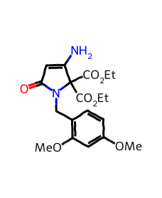 CCOC(=O)C1(C(=O)OCC)C(N)=CC(=O)N1Cc1ccc(OC)cc1OC